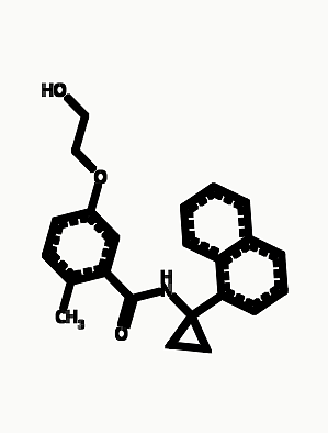 Cc1ccc(OCCO)cc1C(=O)NC1(c2cccc3ccccc23)CC1